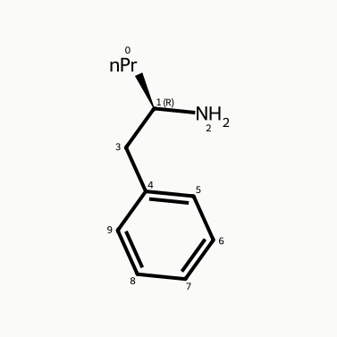 CCC[C@@H](N)Cc1ccccc1